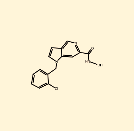 O=C(NO)c1cc2c(ccn2Cc2ccccc2Cl)cn1